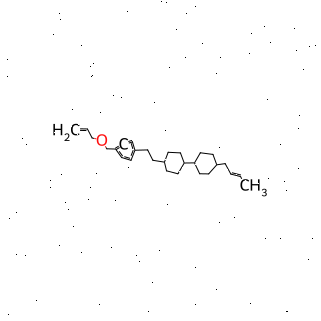 C=CCOCc1ccc(CCC2CCC(C3CCC(CC=CC)CC3)CC2)cc1